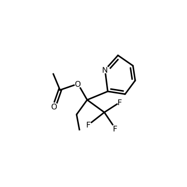 CCC(OC(C)=O)(c1ccccn1)C(F)(F)F